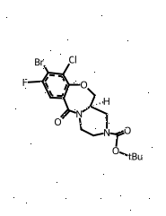 CC(C)(C)OC(=O)N1CCN2C(=O)c3cc(F)c(Br)c(Cl)c3OC[C@H]2C1